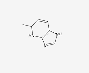 CC1C=Cc2[nH]cnc2N1